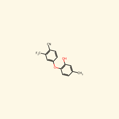 Cc1ccc(Oc2ccc(C#N)c(C(F)(F)F)c2)c(O)c1